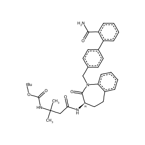 CC(C)(CC(=O)N[C@@H]1CCc2ccccc2N(Cc2ccc(-c3ccccc3C(N)=O)cc2)C1=O)NC(=O)OC(C)(C)C